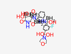 BC(O)(Nc1cccc2c1C(B)(B)N(C1C(=O)NC(=O)C(B)(O)C1(B)O)C2=O)c1ccc(C(O)(O)N2CCOCC2)cc1F